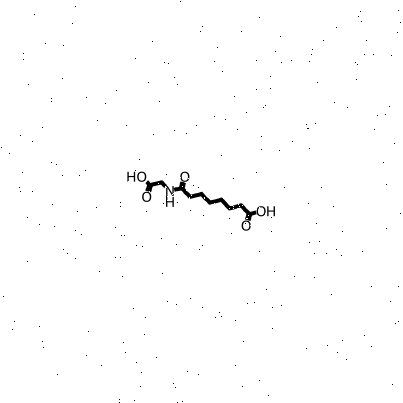 O=C(O)CCCCCCC(=O)NCC(=O)O